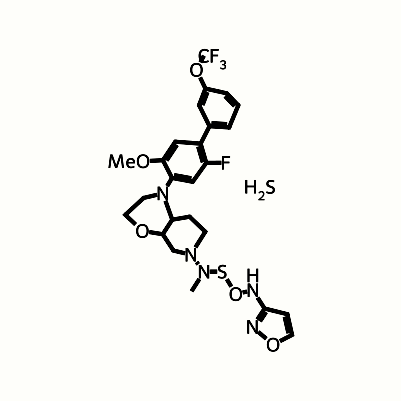 COc1cc(-c2cccc(OC(F)(F)F)c2)c(F)cc1N1CCOC2CN(N(C)SONc3ccon3)CCC21.S